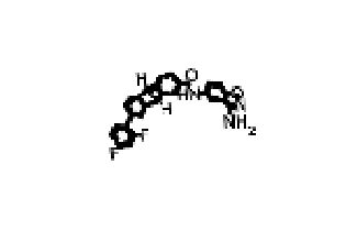 Nc1noc2ccc(NC(=O)c3ccc4c(c3)[C@@H]3O[C@H]4c4ccc(-c5ccc(F)cc5F)cc43)cc12